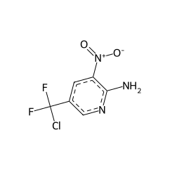 Nc1ncc(C(F)(F)Cl)cc1[N+](=O)[O-]